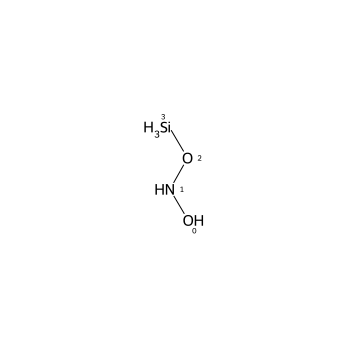 ONO[SiH3]